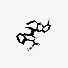 C=Cc1nc2c(Cl)cccc2cc1C(C)C1NC(C(=O)C=O)c2ccccc21